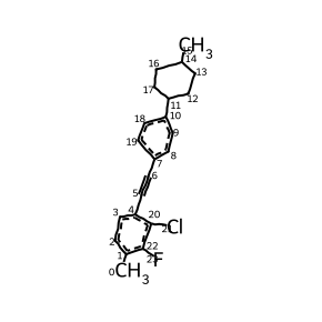 Cc1ccc(C#Cc2ccc(C3CCC(C)CC3)cc2)c(Cl)c1F